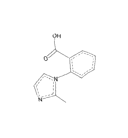 Cc1nccn1-c1ccccc1C(=O)O